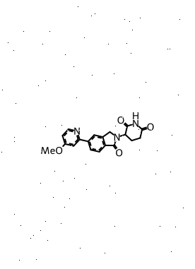 COc1ccnc(-c2ccc3c(c2)CN(C2CCC(=O)NC2=O)C3=O)c1